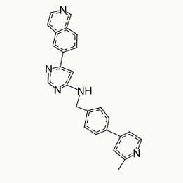 Cc1cc(-c2ccc(CNc3cc(-c4ccc5cnccc5c4)ncn3)cc2)ccn1